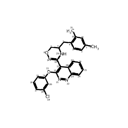 Cc1ccc(CC2CON=C(c3c(Oc4cccc(Cl)c4)nnc4ccccc34)N2)c(C)c1